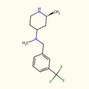 C[C@H]1CC(N(C)Cc2cccc(C(F)(F)F)c2)CCN1